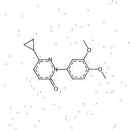 COc1ccc(-n2nc(C3CC3)ccc2=O)cc1OC